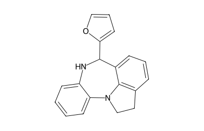 c1coc(C2Nc3ccccc3N3CCc4cccc2c43)c1